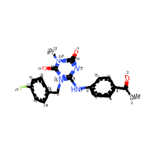 COC(=O)c1ccc(Nc2nc(=O)n(C(C)C)c(=O)n2Cc2ccc(F)cc2)cc1